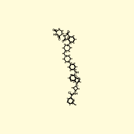 Cc1cccc(C(=O)NC2CC(n3cnc4c(Nc5ccc(N6CCN(CC7CCN(c8cccc9c8C(=O)N([C@H]8CCC(=O)NC8=O)C9=O)CC7)CC6)cc5)ncnc43)C2)n1